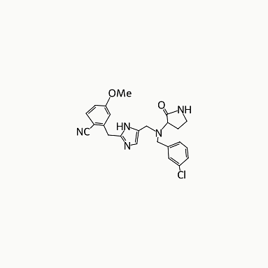 COc1ccc(C#N)c(Cc2ncc(CN(Cc3cccc(Cl)c3)C3CCNC3=O)[nH]2)c1